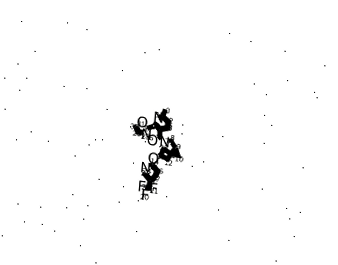 Cc1ccc(C(=O)N2CC3CC34CC(Oc3ccc(C(F)(F)F)cn3)C24)c(-c2ncco2)n1